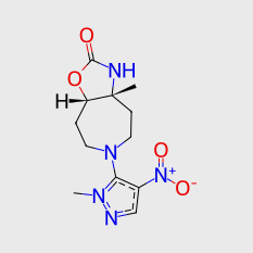 Cn1ncc([N+](=O)[O-])c1N1CC[C@@H]2OC(=O)N[C@]2(C)CC1